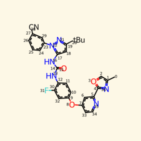 Cc1coc(-c2cc(Oc3ccc(NC(=O)Nc4cc(C(C)(C)C)nn4-c4cccc(C#N)c4)c(F)c3)ccn2)n1